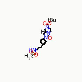 CC(C)(C)OC(=O)N1CCN2C(=O)N(c3ccc(CCCNS(C)(=O)=O)cc3)C[C@@H]2C1